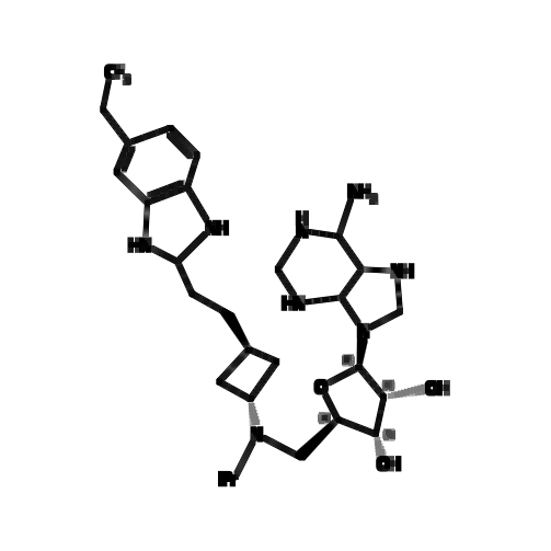 CC(C)N(C[C@H]1O[C@@H](N2CNC3C(N)NCNC32)[C@H](O)[C@@H]1O)[C@H]1C[C@H](CCC2Nc3ccc(CC(F)(F)F)cc3N2)C1